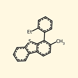 CCc1ccccc1-c1c(C)ccc2c1sc1ccccc12